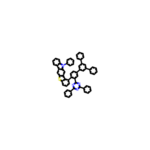 c1ccc(-c2cc(-c3ccccc3)cc(-c3ccc(-c4cccc5sc6cc7c8ccccc8n(-c8ccccc8)c7cc6c45)c(-c4nc(-c5ccccc5)nc(-c5ccccc5)n4)c3)c2)cc1